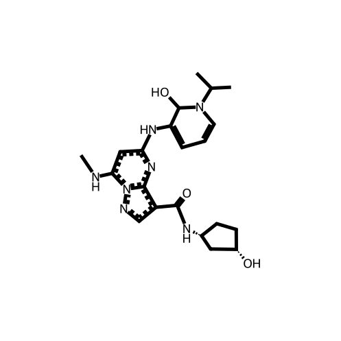 CNc1cc(NC2=CC=CN(C(C)C)C2O)nc2c(C(=O)N[C@@H]3CC[C@H](O)C3)cnn12